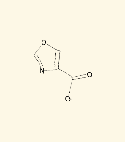 [O]C(=O)c1cocn1